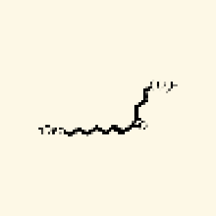 CCCCCCCCCCCCCCCC=CC1OC1CCCC(=O)O